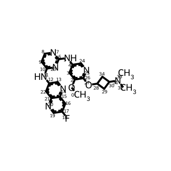 COc1cc(Nc2nccc(Nc3cnc4cc(F)cnc4c3)n2)cnc1OC1CC(N(C)C)C1